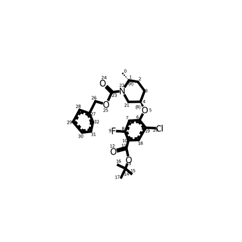 C[C@@H]1CC[C@@H](Oc2cc(F)c(C(=O)OC(C)(C)C)cc2Cl)CN1C(=O)OCc1ccccc1